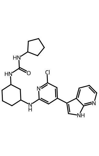 O=C(NC1CCCC1)NC1CCCC(Nc2cc(-c3c[nH]c4ncccc34)cc(Cl)n2)C1